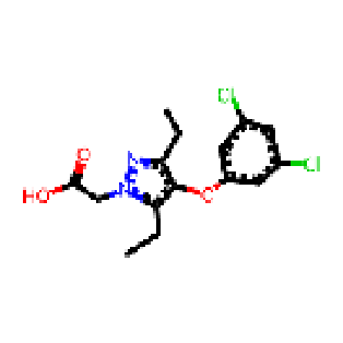 CCc1nn(CC(=O)O)c(CC)c1Oc1cc(Cl)cc(Cl)c1